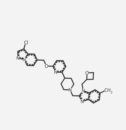 Cc1ccc2nc(CN3CCC(c4cccc(OCc5ccn6ncc(Cl)c6c5)n4)CC3)n(CC3CCO3)c2c1